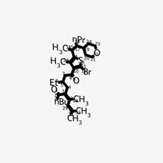 CCCCC(=O)/C(CC(CC)CC(=O)c1c(Br)sc(C(C)C(CCC)C2CCOCC2)c1C)=C(/C)C=C(C)C